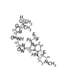 CN1CC[C@@H](Nc2cccc3c2cc(-c2noc(CNC(=O)c4coc(C(C)(C)C)n4)n2)n3C(F)C(F)F)[C@@H](F)C1